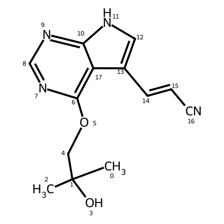 CC(C)(O)COc1ncnc2[nH]cc(C=CC#N)c12